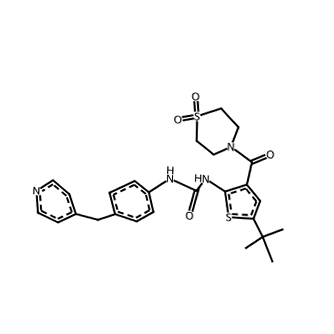 CC(C)(C)c1cc(C(=O)N2CCS(=O)(=O)CC2)c(NC(=O)Nc2ccc(Cc3ccncc3)cc2)s1